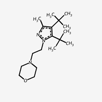 Cc1nn(CCN2CCOCC2)c(C(C)(C)C)c1C(C)(C)C